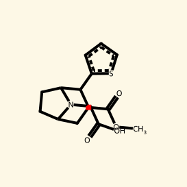 COC(=O)C1CC2CCC(C1c1cccs1)N2CC(=O)O